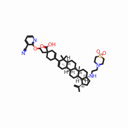 C=C(C)[C@@H]1CC[C@]2(NCCN3CCS(=O)(=O)CC3)CC[C@]3(C)[C@H](CC[C@@H]4[C@@]5(C)CC=C(C6=CCC(CCOc7ncccc7C#N)(C(=O)O)CC6)C(C)(C)[C@@H]5CC[C@]43C)[C@@H]12